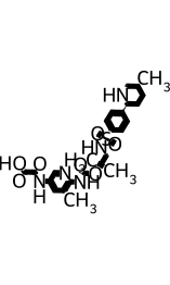 Cc1cc(NC(=O)C(=O)O)cnc1NC(=O)OC(C)(C)CNS(=O)(=O)c1ccc([C@H]2CC[C@H](C)CN2)cc1